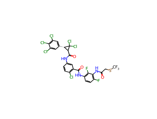 O=C(CSC(F)(F)F)Nc1c(F)ccc(NC(=O)c2cc(NC(=O)C3[C@H](c4cc(Cl)c(Cl)c(Cl)c4)C3(Cl)Cl)ccc2Cl)c1F